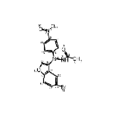 CC(=O)NN(c1ccc([N+](=O)[O-])cc1)c1coc2ccc(Br)cc12